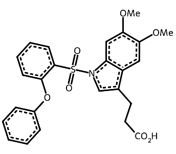 COc1cc2c(CCC(=O)O)cn(S(=O)(=O)c3ccccc3Oc3ccccc3)c2cc1OC